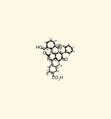 CC(C)c1ccccc1-c1nc2c(cc1Cl)c(N1CC(C)N(C(=O)O)CC1C)nc(=O)n2-c1c(CO)cccc1C(C)C